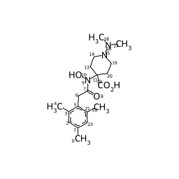 Cc1cc(C)c(CC(=O)N(O)C2(C(=O)O)CCN(N(C)C)CC2)c(C)c1